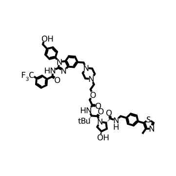 Cc1ncsc1-c1ccc(CNC(=O)[C@@H]2C[C@@H](O)CN2C(=O)[C@@H](NC(=O)COCCN2CCN(Cc3ccc4c(c3)nc(NC(=O)c3cccc(C(F)(F)F)c3)n4-c3ccc(CO)cc3)CC2)C(C)(C)C)cc1